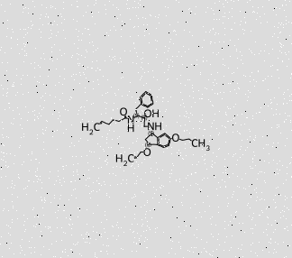 C=CCCCC(=O)N[C@@H](Cc1ccccc1)[C@H](O)CN[C@H]1C[C@@H](OCC=C)c2ccc(OCCC)cc21